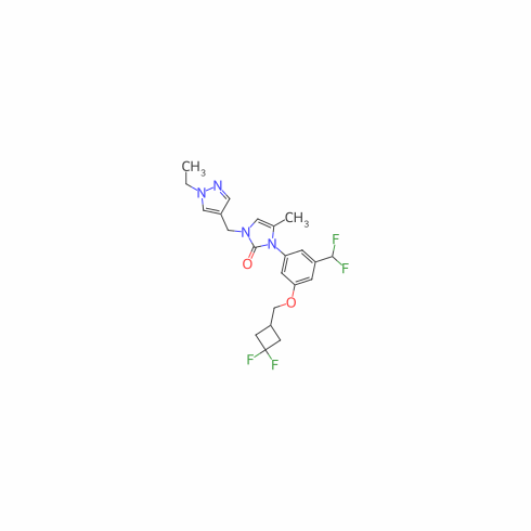 CCn1cc(Cn2cc(C)n(-c3cc(OCC4CC(F)(F)C4)cc(C(F)F)c3)c2=O)cn1